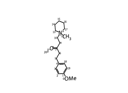 COc1ccc(CCC(=O)CC[N+]2(C)CCCCC2)cc1.[I-]